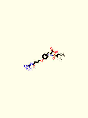 CCC(C)S(=O)(=O)N[C@@H](Cc1ccc(OCCCC(=O)N=C(N)N)cc1)C(=O)O